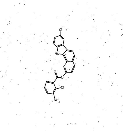 Nc1cccc(C(=O)Oc2ccc3ccc4c5cc(Cl)ccc5[nH]c4c3c2)c1Cl